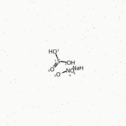 O=S(O)O.O=[NH+][O-].[NaH]